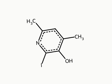 Cc1cc(C)c(O)c(I)n1